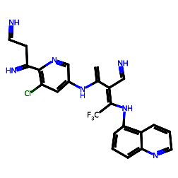 C=C(Nc1cnc(C(=N)CC=N)c(Cl)c1)/C(C=N)=C(/Nc1cccc2ncccc12)C(F)(F)F